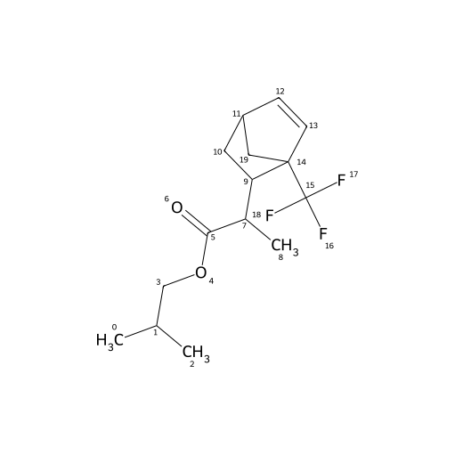 CC(C)COC(=O)C(C)C1CC2C=CC1(C(F)(F)F)C2